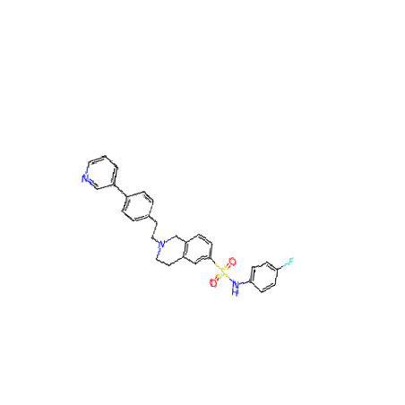 O=S(=O)(Nc1ccc(F)cc1)c1ccc2c(c1)CCN(CCc1ccc(-c3cccnc3)cc1)C2